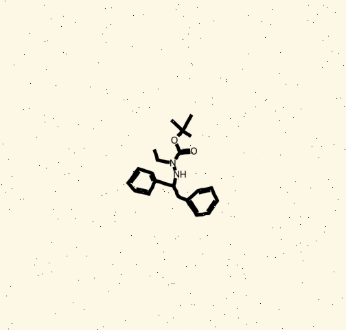 CCN(NC(Cc1ccccc1)c1ccccc1)C(=O)OC(C)(C)C